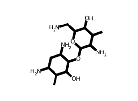 CC1C(N)C(OC2C(N)CC(N)C(C)C2O)OC(CN)C1O